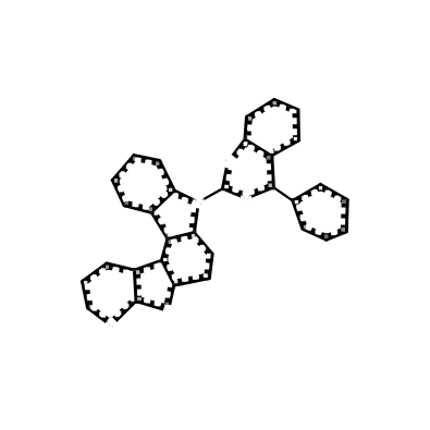 c1ccc(-c2nc(-n3c4ccccc4c4c5c(ccc43)sc3ncccc35)nc3ccccc23)cc1